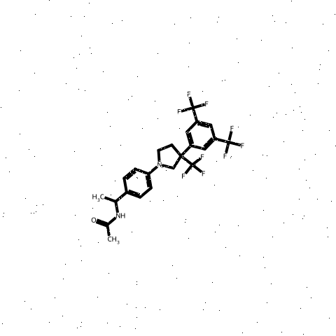 CC(=O)NC(C)c1ccc(N2CCC(c3cc(C(F)(F)F)cc(C(F)(F)F)c3)(C(F)(F)F)C2)cc1